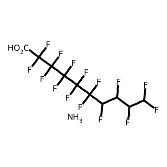 N.O=C(O)C(F)(F)C(F)(F)C(F)(F)C(F)(F)C(F)(F)C(F)C(F)C(F)C(F)F